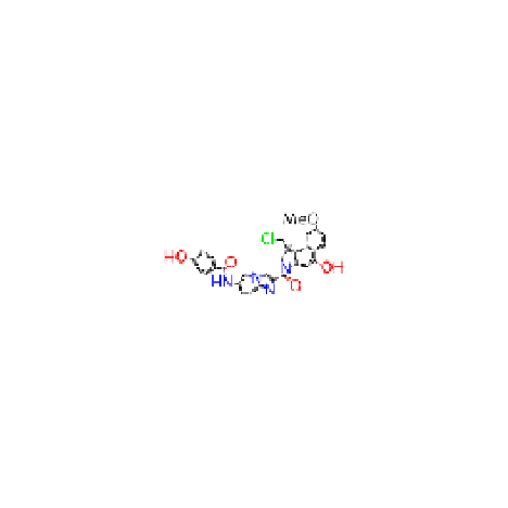 COc1ccc2c(O)cc3c(c2c1)[C@H](CCl)CN3C(=O)c1cn2cc(NC(=O)c3ccc(O)cc3)ccc2n1